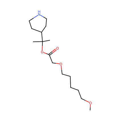 COCCCCCOCC(=O)OC(C)(C)C1CCNCC1